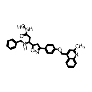 Cc1cc(COc2ccc(C3=NOC(C(CC(=O)NO)NCc4ccccc4)C3)cc2)c2ccccc2n1